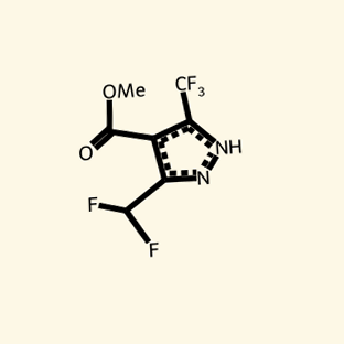 COC(=O)c1c(C(F)F)n[nH]c1C(F)(F)F